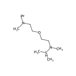 CC(C)N(C)CCOCCN(C)[SH](C)C